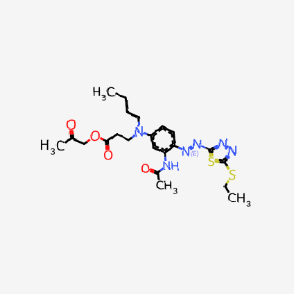 CCCCN(CCC(=O)OCC(C)=O)c1ccc(/N=N/c2nnc(SCC)s2)c(NC(C)=O)c1